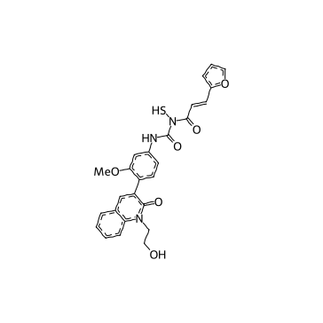 COc1cc(NC(=O)N(S)C(=O)/C=C/c2ccco2)ccc1-c1cc2ccccc2n(CCO)c1=O